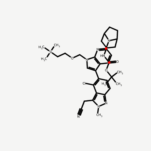 Cn1nc2ccc(-c3cn(COCC[Si](C)(C)C)c4nc(N5C6CCC5CC(NC(=O)OC(C)(C)C)C6)cnc34)c(Cl)c2c1CC#N